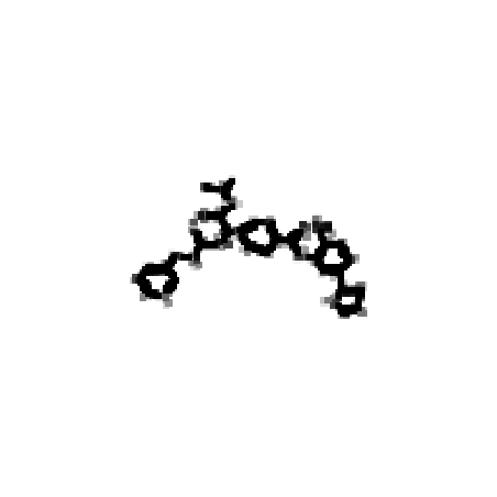 CC(C)NC(=O)C(NC(=O)OCc1cccnc1)c1ccc(C(=O)Nc2cc(-c3cccs3)ccc2N)cc1